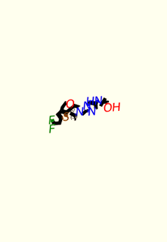 C[C@H]1C[C@@]2(CCN1Cc1ncc(NC(C)(C)CO)cn1)OCCc1cc(CC(F)F)sc12